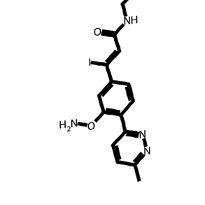 CCNC(=O)/C=C(\I)c1ccc(-c2ccc(C)nn2)c(ON)c1